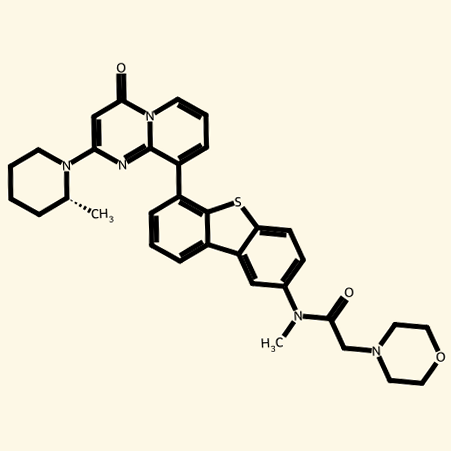 C[C@@H]1CCCCN1c1cc(=O)n2cccc(-c3cccc4c3sc3ccc(N(C)C(=O)CN5CCOCC5)cc34)c2n1